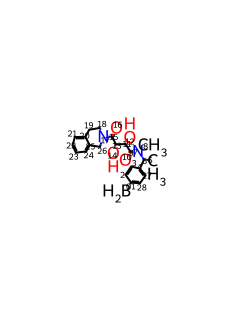 Bc1ccc([C@H](C)N(C)C(=O)[C@@H](O)[C@H](O)C(=O)N2CCc3ccccc3C2)cc1